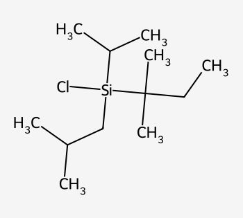 CCC(C)(C)[Si](Cl)(CC(C)C)C(C)C